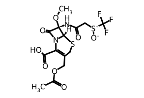 CO[C@@]1(NC(=O)C[S+]([O-])C(F)(F)F)C(=O)N2C(C(=O)O)=C(COC(C)=O)CS[C@H]21